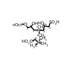 CCCCCCCCOCC(O)C[N+](C)(C)CC(O)CS(=O)(=O)O.C[N+](C)(C)CC(=O)O